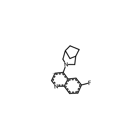 Fc1ccc2nc[c]c(N3CC4CCC(C4)C3)c2c1